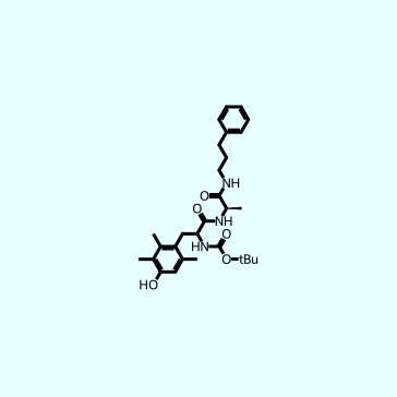 Cc1cc(O)c(C)c(C)c1CC(NC(=O)OC(C)(C)C)C(=O)N[C@H](C)C(=O)NCCCc1ccccc1